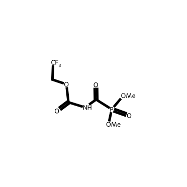 COP(=O)(OC)C(=O)NC(=O)OCC(F)(F)F